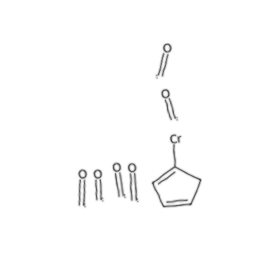 [C]=O.[C]=O.[C]=O.[C]=O.[C]=O.[C]=O.[Cr][C]1=CC=CC1